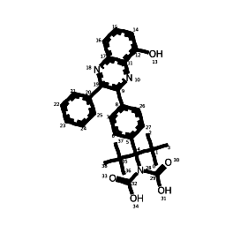 CC(C)(C)C(c1ccc(-c2nc3c(O)cccc3nc2-c2ccccc2)cc1)(N(C(=O)O)C(=O)O)C(C)(C)C